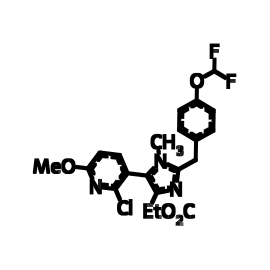 CCOC(=O)c1nc(Cc2ccc(OC(F)F)cc2)n(C)c1-c1ccc(OC)nc1Cl